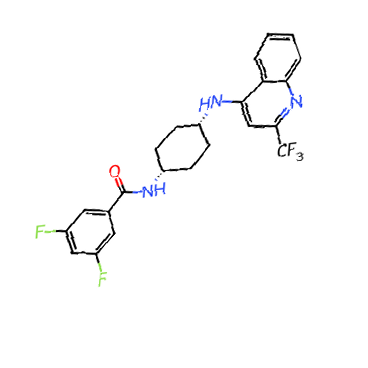 O=C(N[C@H]1CC[C@@H](Nc2cc(C(F)(F)F)nc3ccccc23)CC1)c1cc(F)cc(F)c1